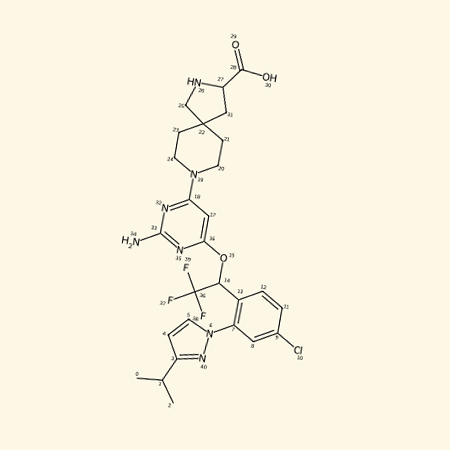 CC(C)c1ccn(-c2cc(Cl)ccc2C(Oc2cc(N3CCC4(CC3)CNC(C(=O)O)C4)nc(N)n2)C(F)(F)F)n1